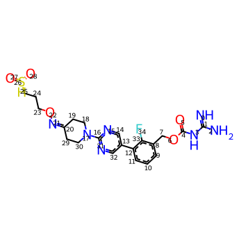 N=C(N)NC(=O)OCc1cccc(-c2cnc(N3CCC(=NOCCC[SH](=O)=O)CC3)nc2)c1F